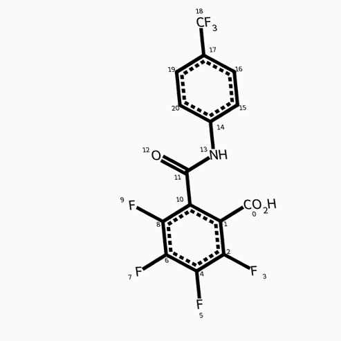 O=C(O)c1c(F)c(F)c(F)c(F)c1C(=O)Nc1ccc(C(F)(F)F)cc1